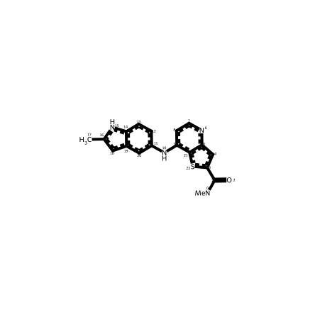 CNC(=O)c1cc2nccc(Nc3ccc4[nH]c(C)cc4c3)c2s1